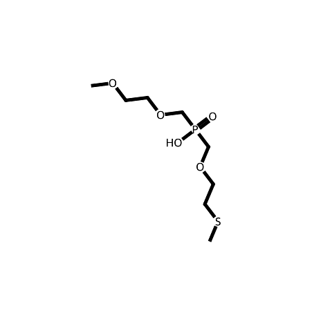 COCCOCP(=O)(O)COCCSC